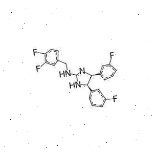 Fc1cccc([C@H]2NC(NCc3ccc(F)c(F)c3)=N[C@H]2c2cccc(F)c2)c1